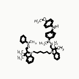 COc1ccc(Nc2ccc(N(C)/N=C/C3=[N+](CCCCCC[N+]4=C(/C=N/N(C)c5ccccc5)C(C)(C)c5ccccc54)c4ccccc4C3(C)C)cc2)cc1